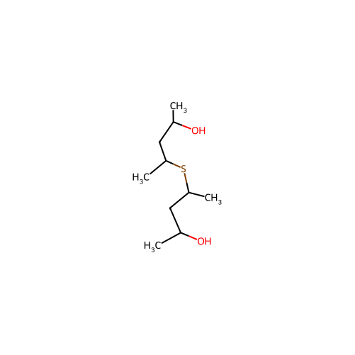 CC(O)CC(C)SC(C)CC(C)O